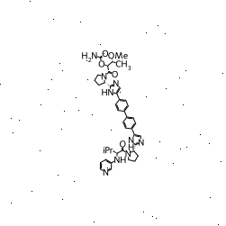 CO[C@H](C)[C@H](OC(N)=O)C(=O)N1CCC[C@H]1c1ncc(-c2ccc(-c3ccc(-c4cnc([C@@H]5CCCN5C(=O)[C@@H](Nc5cccnc5)C(C)C)[nH]4)cc3)cc2)[nH]1